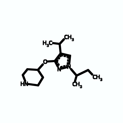 CCC(C)n1cc(C(C)C)c(OC2CCNCC2)n1